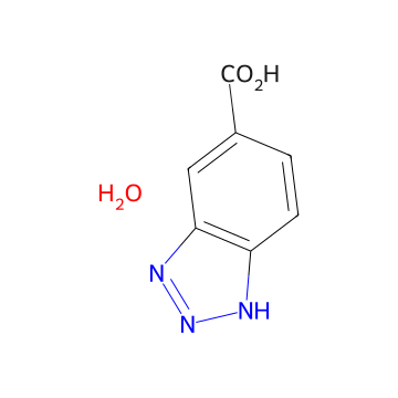 O.O=C(O)c1ccc2[nH]nnc2c1